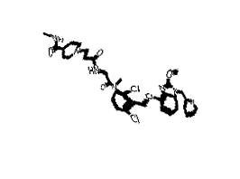 CNC(=O)C1CCN(CCC(=O)NCC(=O)N(C)c2ccc(Cl)c(COc3cccc4c3nc(OC)n4Cc3ccccn3)c2Cl)CC1